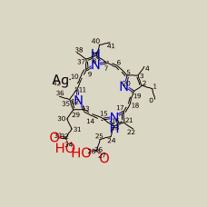 CCC1=C(C)c2cc3[nH]c(cc4nc(cc5[nH]c(cc1n2)c(C)c5CCC(=O)O)C(CCC(=O)O)=C4C)c(C)c3CC.[Ag]